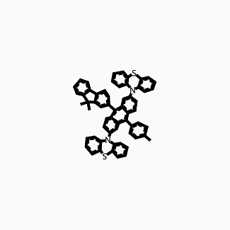 Cc1ccc(-c2c3ccc(N4c5ccccc5Sc5ccccc54)cc3c(-c3ccc4c(c3)C(C)(C)c3ccccc3-4)c3ccc(N4c5ccccc5Sc5ccccc54)cc23)cc1